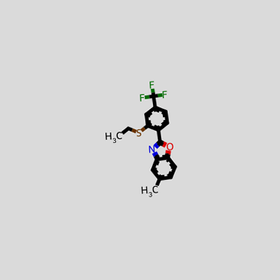 CCSc1cc(C(F)(F)F)ccc1-c1nc2cc(C)ccc2o1